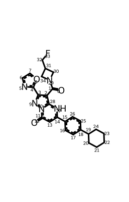 O=C(c1c(-c2ncco2)nn2c(=O)cc(-c3ccc(C4CCCCC4)cc3)[nH]c12)N1CC(CF)C1